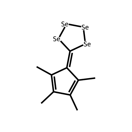 CC1=C(C)C(=C2[Se][Se][Se][Se]2)C(C)=C1C